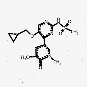 Cc1cc(-c2nc(NS(C)(=O)=O)ncc2OCC2CC2)cn(C)c1=O